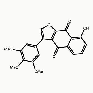 COc1cc(-c2noc3c2C(=O)c2cccc(O)c2C3=O)cc(OC)c1OC